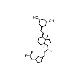 C[C@H](CCN1CC[C@H](CC(F)F)C1)[C@H]1CC[C@H]2/C(=C/C=C3C[C@@H](O)C[C@H](O)C3)CCC[C@]12C